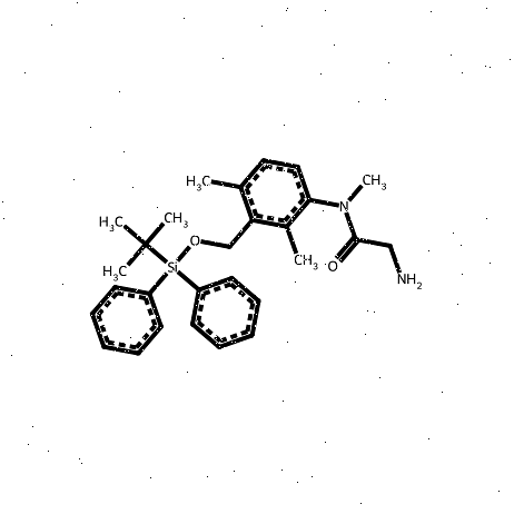 Cc1ccc(N(C)C(=O)CN)c(C)c1CO[Si](c1ccccc1)(c1ccccc1)C(C)(C)C